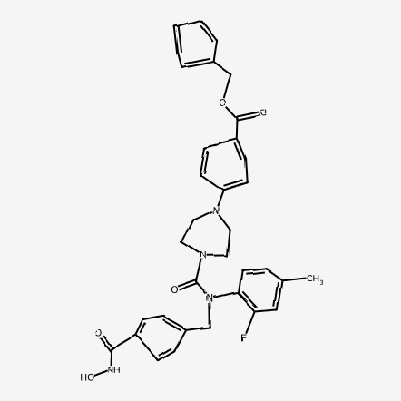 Cc1ccc(N(Cc2ccc(C(=O)NO)cc2)C(=O)N2CCN(c3ccc(C(=O)OCc4ccccc4)cc3)CC2)c(F)c1